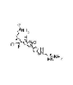 C[C@H](NCCCSC(=N)N)c1ccc(-n2cc3cc(-c4cc(CCC[C@@H](N)C5CC5)cc(Cl)c4F)[nH]c3nc2=O)cc1